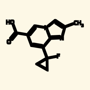 Cc1cn2cc(C(=O)O)cc(C3(F)CC3)c2n1